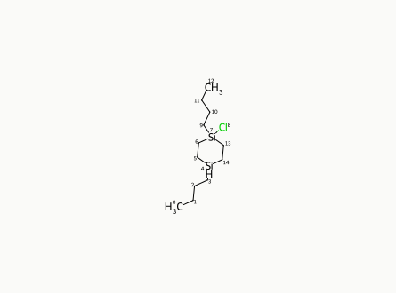 CCCC[SiH]1CC[Si](Cl)(CCCC)CC1